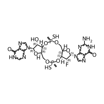 C=P1(S)OC[C@H]2O[C@@H](n3cnc4c(=O)[nH]cnc43)[C@H](O)[C@@H]2OP(=C)(S)OC[C@@H]2O[C@H](n3cnc4c(=O)[nH]c(N)nc43)[C@H](F)[C@H]2O1